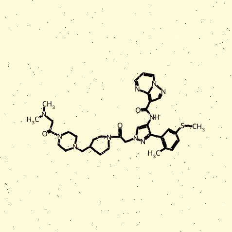 CSc1ccc(C)c(-c2nn(CC(=O)N3CCC(CN4CCN(C(=O)CN(C)C)CC4)CC3)cc2NC(=O)c2cnn3cccnc23)c1